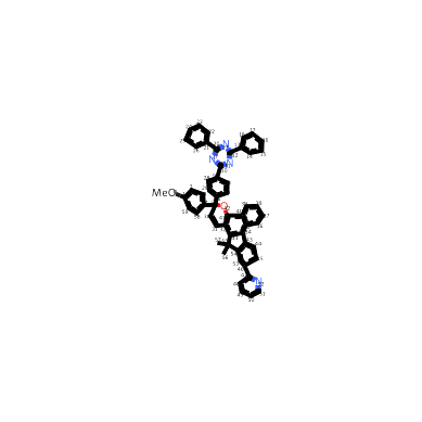 COc1ccc(C2(c3ccc(-c4nc(-c5ccccc5)nc(-c5ccccc5)n4)cc3)C=Cc3c4c(c5ccccc5c3O2)-c2ccc(-c3ccccn3)cc2C4(C)C)cc1